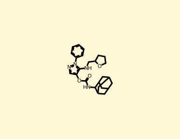 O=C(NC1C2CC3CC(C2)CC1C3)Oc1cnn(-c2ccccc2)c1NCC1CCCO1